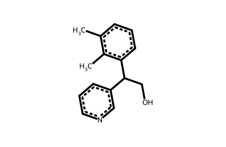 Cc1cccc(C(CO)c2cccnc2)c1C